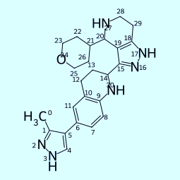 Cc1n[nH]cc1-c1ccc2c(c1)CCC(c1n[nH]c3c1C(C1CCOCC1)NCC3)N2